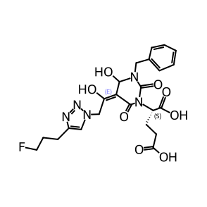 O=C(O)CC[C@@H](C(=O)O)N1C(=O)/C(=C(/O)Cn2cc(CCCF)nn2)C(O)N(Cc2ccccc2)C1=O